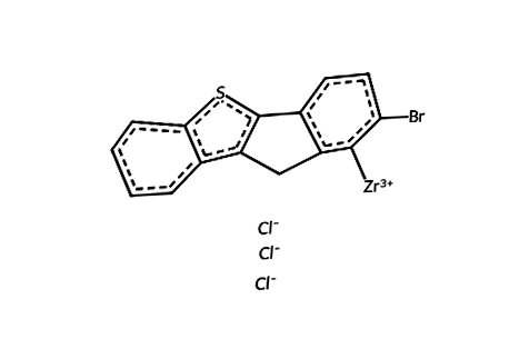 Brc1ccc2c([c]1[Zr+3])Cc1c-2sc2ccccc12.[Cl-].[Cl-].[Cl-]